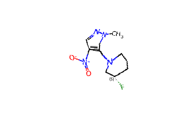 Cn1ncc([N+](=O)[O-])c1N1CC[C@H](F)C1